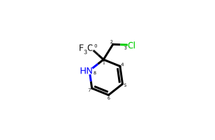 FC(F)(F)C1(CCl)C=CC=CN1